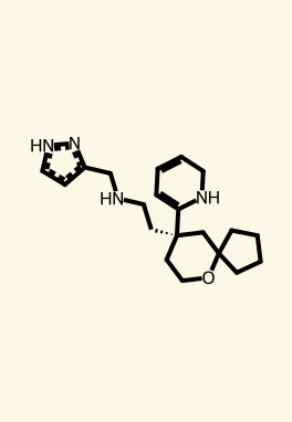 C1=CCNC([C@]2(CCNCc3cc[nH]n3)CCOC3(CCCC3)C2)=C1